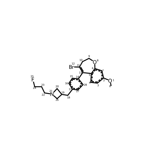 COc1ccc2c(c1)OCCC(Br)=C2c1ccc(CC2CN(CCCF)C2)cc1